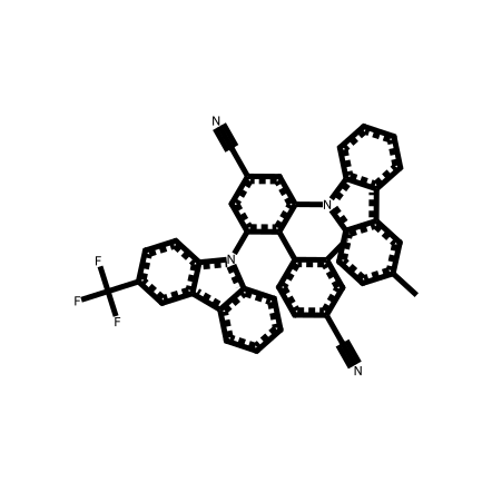 Cc1ccc2c(c1)c1ccccc1n2-c1cc(C#N)cc(-n2c3ccccc3c3cc(C(F)(F)F)ccc32)c1-c1ccc(C#N)cc1F